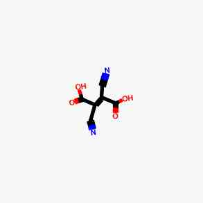 N#CC(C(=O)O)=C(C#N)C(=O)O